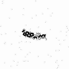 CC(=O)[C@H]1CC[C@H]2C3CC[C@H]4C[C@H](OC(=O)[C@H](C)NC(=O)C(=S)[C@@H](N)CC(C)C)CC[C@]4(C)[C@H]3CC[C@]12C